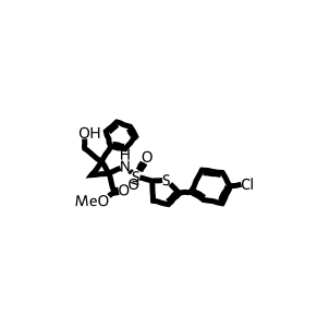 COC(=O)C1(NS(=O)(=O)C2CC=C(c3ccc(Cl)cc3)S2)CC1(CO)c1ccccc1